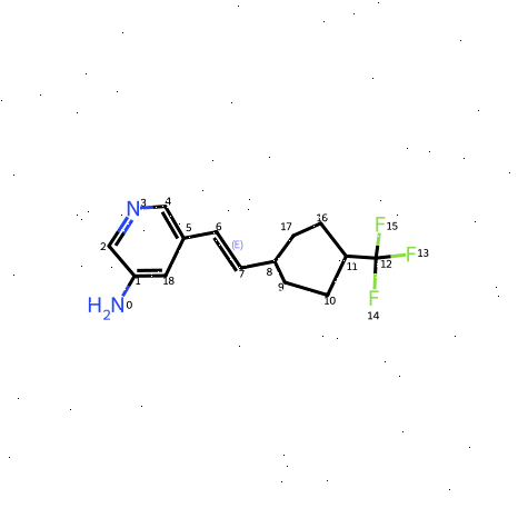 Nc1cncc(/C=C/C2CCC(C(F)(F)F)CC2)c1